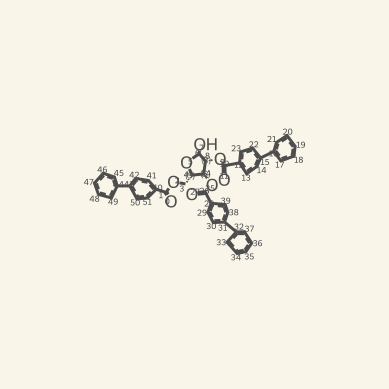 O=C(OC[C@@H]1OC(O)[C@H](OC(=O)c2ccc(-c3ccccc3)cc2)[C@H]1OC(=O)c1ccc(-c2ccccc2)cc1)c1ccc(-c2ccccc2)cc1